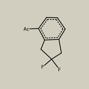 CC(=O)c1cccc2c1CC(F)(F)C2